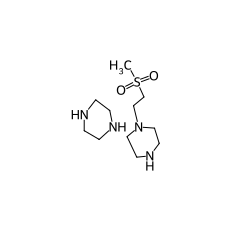 C1CNCCN1.CS(=O)(=O)CCN1CCNCC1